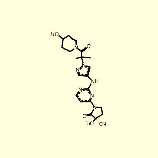 CC(C)(C(=O)N1CCC(O)CC1)n1cc(Nc2nccc(N3CC[C@](O)(C#N)C3=O)n2)cn1